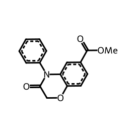 COC(=O)c1ccc2c(c1)N(c1ccccc1)C(=O)CO2